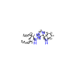 COc1cc(Nc2nc3c(-c4c[nH]c5ccccc45)nccn3n2)cc(OC)c1